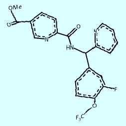 COC(=O)c1ccc(C(=O)NC(c2ccc(OC(F)(F)F)c(F)c2)c2ccccn2)nc1